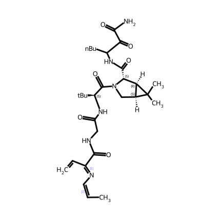 C=C/C(=N\C=C/C)C(=O)NCC(=O)N[C@H](C(=O)N1C[C@H]2[C@@H]([C@H]1C(=O)NC(CCCC)C(=O)C(N)=O)C2(C)C)C(C)(C)C